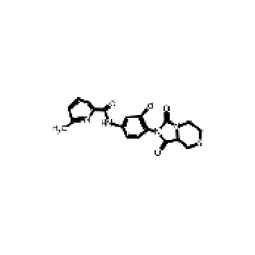 Cc1cccc(C(=O)Nc2ccc(N3C(=O)C4CSCCN4C3=O)c(Cl)c2)n1